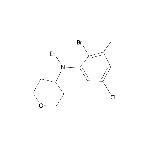 CCN(c1cc(Cl)cc(C)c1Br)C1CCOCC1